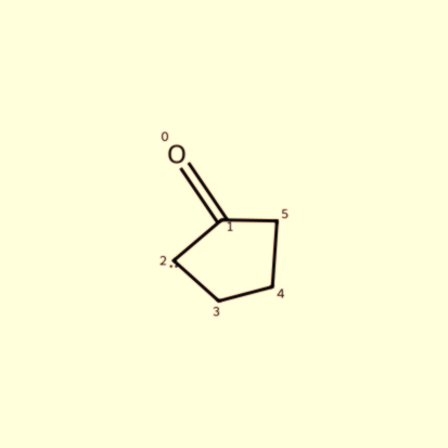 O=C1[C]CCC1